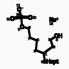 CCCCCCCC(CCO)CCCCOS(=O)(=O)[O-].[Na+]